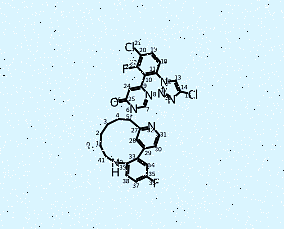 C[C@@H]1CCC[C@H](n2cnc(-c3c(-n4cc(Cl)nn4)ccc(Cl)c3F)cc2=O)c2cc(ccn2)-c2cc(F)ccc2NC1